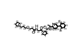 CC(NC(=O)[C@@H]1CCCN1C(=O)CNC(=O)CCOCCCN1CCCC1)c1ccc(-c2c(F)cccc2F)cn1